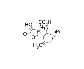 CC(C)[C@@H]1CC[C@@H](C)CC1ON(C(=O)O)[C@@H]1COC(=O)[C@H]1O